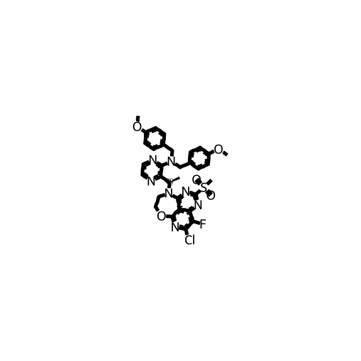 COc1ccc(CN(Cc2ccc(OC)cc2)c2nccnc2[C@@H](C)N2CCOc3nc(Cl)c(F)c4nc(S(C)(=O)=O)nc2c34)cc1